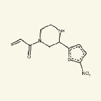 C=CC(=O)N1CCNC(c2ccc([N+](=O)[O-])o2)C1